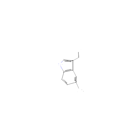 CC(C)(C)Cc1c[nH]c2ccc(C#N)cc12